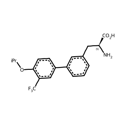 CC(C)Oc1ccc(-c2cccc(C[C@H](N)C(=O)O)c2)cc1C(F)(F)F